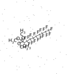 CO[Si](OC)(OC)C(C)C(F)(F)C(F)(F)C(F)(F)C(F)(F)C(F)(F)C(F)(F)C(F)(F)C(F)(F)F